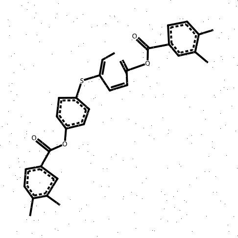 C=C(/C=C\C(=C/C)Sc1ccc(OC(=O)c2ccc(C)c(C)c2)cc1)OC(=O)c1ccc(C)c(C)c1